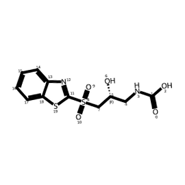 O=C(O)NC[C@@H](O)CS(=O)(=O)c1nc2ccccc2s1